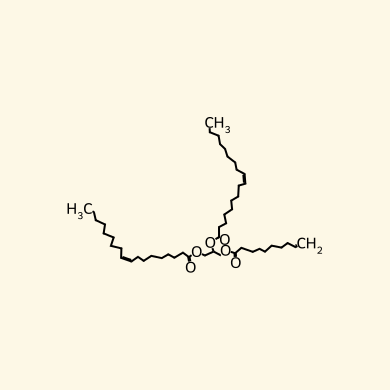 C=CCCCCCCCC(=O)OCC(COC(=O)CCCCCCC/C=C\CCCCCCCC)OC(=O)CCCCCCC/C=C\CCCCCCCC